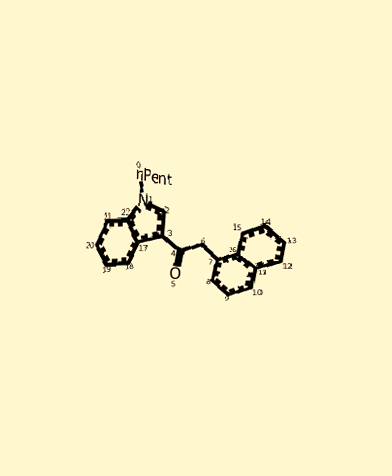 CCCCCn1cc(C(=O)Cc2cccc3ccccc23)c2ccccc21